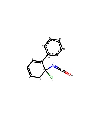 O=C=NC1(Cl)CC=CC=C1c1ccccc1